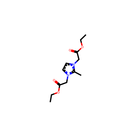 CCOC(=O)Cn1cc[n+](CC(=O)OCC)c1C